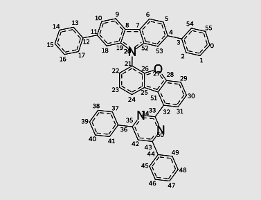 c1ccc(-c2ccc3c4ccc(-c5ccccc5)cc4n(-c4cccc5c4oc4cccc(-c6nc(-c7ccccc7)cc(-c7ccccc7)n6)c45)c3c2)cc1